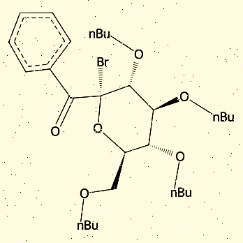 CCCCOC[C@H]1O[C@@](Br)(C(=O)c2ccccc2)[C@H](OCCCC)[C@@H](OCCCC)[C@@H]1OCCCC